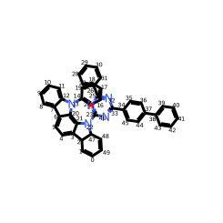 C1=CC2c3ccc4c5ccccc5n(-c5ccccc5)c4c3N(c3nc(-c4ccccc4)nc(-c4ccc(-c5ccccc5)cc4)n3)C2C=C1